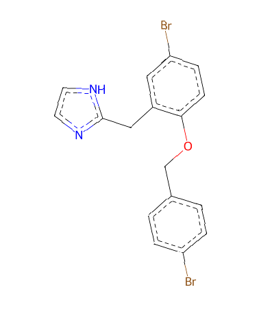 Brc1ccc(COc2ccc(Br)cc2Cc2ncc[nH]2)cc1